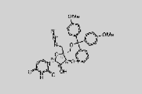 COc1ccc(C(OC[C@@]2(CN=[N+]=[N-])O[C@@H](n3ccc(=O)[nH]c3=O)[C@H](O)[C@@H]2O)(c2ccccc2)c2ccc(OC)cc2)cc1